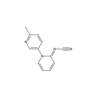 N#C/N=c1\ccccn1-c1ccc(I)nc1